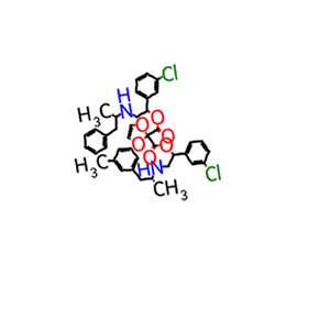 Cc1cccc(C[C@@H](C)NCC(OC(=O)C2(C(=O)OC(CN[C@H](C)Cc3ccccc3)c3cccc(Cl)c3)OC=CO2)c2cccc(Cl)c2)c1